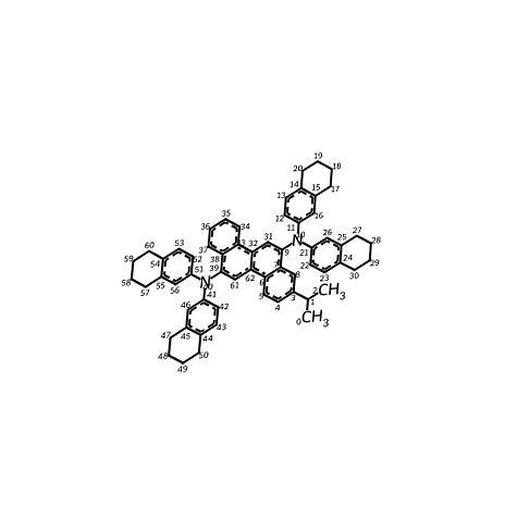 CC(C)c1ccc2c(c1)c(N(c1ccc3c(c1)CCCC3)c1ccc3c(c1)CCCC3)cc1c3ccccc3c(N(c3ccc4c(c3)CCCC4)c3ccc4c(c3)CCCC4)cc21